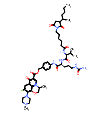 CCCCC(C)C1CC(=O)N(CCCCCC(=O)NC(C(=O)N[C@@H](CCCNC(N)=O)C(=O)Nc2ccc(COC(=O)c3cn4c5c(c(N6CCN(C)CC6)c(F)cc5c3=O)OCC4C)cc2)C(C)C)C1=O